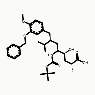 COc1ccc(C[C@@H](C[C@H](NC(=O)OC(C)(C)C)[C@@H](O)C[C@@H](C)C(=O)O)C(C)C)cc1OCc1ccccc1